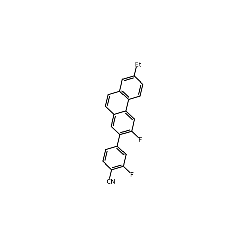 CCc1ccc2c(ccc3cc(-c4ccc(C#N)c(F)c4)c(F)cc32)c1